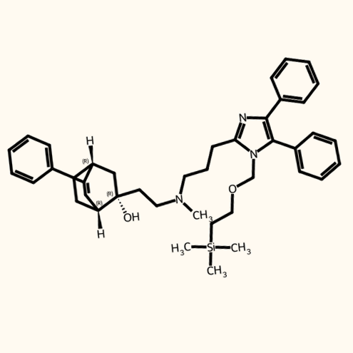 CN(CCCc1nc(-c2ccccc2)c(-c2ccccc2)n1COCC[Si](C)(C)C)CC[C@]1(O)C[C@H]2CC[C@@H]1C=C2c1ccccc1